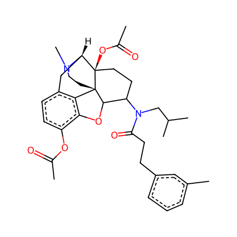 CC(=O)Oc1ccc2c3c1OC1C(N(CC(C)C)C(=O)CCc4cccc(C)c4)CC[C@@]4(OC(C)=O)[C@@H](C2)N(C)CC[C@]314